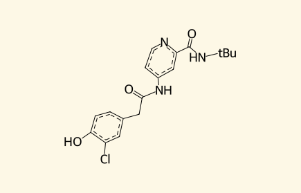 CC(C)(C)NC(=O)c1cc(NC(=O)Cc2ccc(O)c(Cl)c2)ccn1